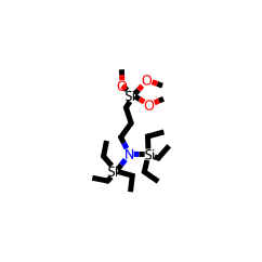 CC[Si](CC)(CC)N(CCC[Si](OC)(OC)OC)[Si](CC)(CC)CC